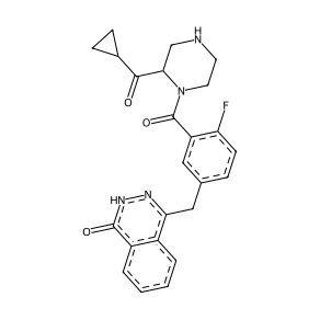 O=C(C1CC1)C1CNCCN1C(=O)c1cc(Cc2n[nH]c(=O)c3ccccc23)ccc1F